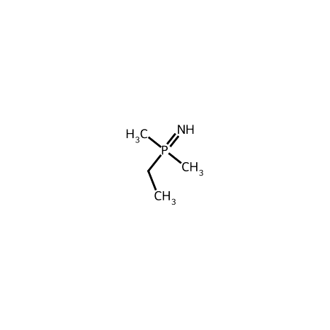 CCP(C)(C)=N